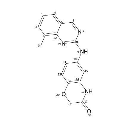 Cc1cccc2cnc(Nc3ccc4c(c3)NC(=O)CO4)nc12